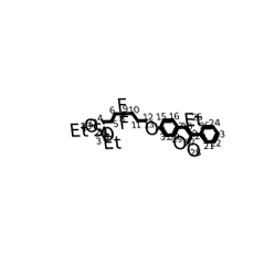 CCO[Si](C)(CCCC(F)(F)CCCOc1ccc2cc(-c3ccccc3CC)c(=O)oc2c1)OCC